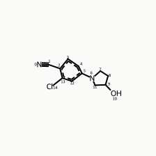 N#Cc1ccc(N2CCC(O)C2)cc1Cl